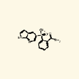 CP(=O)(c1cnc2[nH]ccc2c1)c1ccccc1C(N)=O